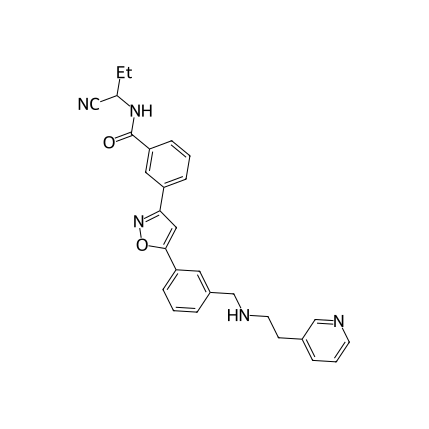 CCC(C#N)NC(=O)c1cccc(-c2cc(-c3cccc(CNCCc4cccnc4)c3)on2)c1